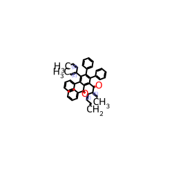 C=C/C=C\C(=C/C)C(=O)c1c(C(=O)c2ccccc2)c(-c2ccccc2)c(C(/C=C\C)=C/C)c(-c2ccccc2)c1-c1ccccc1